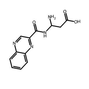 NC(CC(=O)O)NC(=O)c1cnc2ccccc2n1